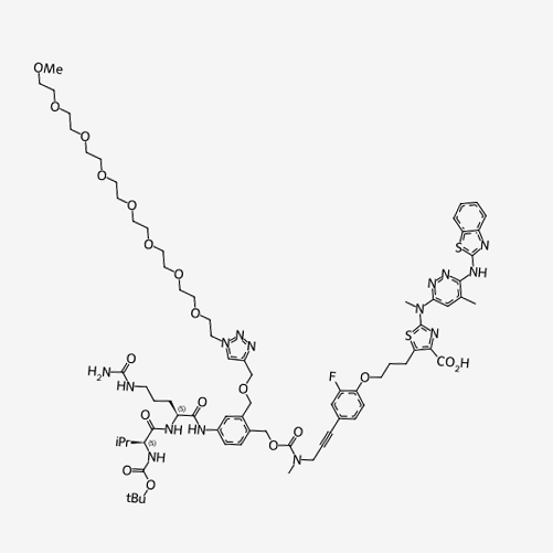 COCCOCCOCCOCCOCCOCCOCCOCCn1cc(COCc2cc(NC(=O)[C@H](CCCNC(N)=O)NC(=O)[C@@H](NC(=O)OC(C)(C)C)C(C)C)ccc2COC(=O)N(C)CC#Cc2ccc(OCCCc3sc(N(C)c4cc(C)c(Nc5nc6ccccc6s5)nn4)nc3C(=O)O)c(F)c2)nn1